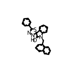 O=C1N(Cc2cccc3ccccc23)c2ccccc2C12NN=C(c1ccccc1)S2